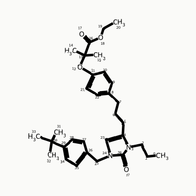 CCCn1c(CCCc2ccc(OC(C)(C)C(=O)OCC)cc2)cn(Cc2ccc(C(C)(C)C)cc2)c1=O